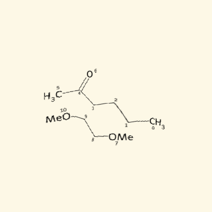 CCCCC(C)=O.COCCOC